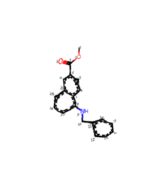 COC(=O)c1ccc2c(NCc3ccccc3)cccc2c1